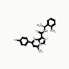 Cc1ccccc1[C@H](C)NC(=O)c1ncn2c(C)cc(-c3ccc(F)cc3)nc12